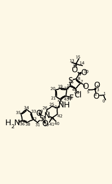 CCOC(=O)COc1c(C(=O)OC(C)(C)C)sc(-c2cccc(NC3CCN(S(=O)(=O)Cc4cccc(N)c4)C(C)(C)C3)c2F)c1Cl